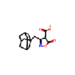 COC(=O)C1C(=O)ON=C1CC12CC3CC(CC(C3)C1)C2